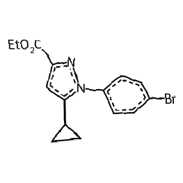 CCOC(=O)c1cc(C2CC2)n(-c2ccc(Br)cc2)n1